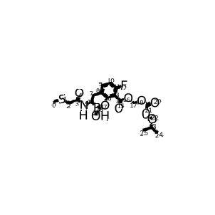 CSCC(=O)N[C@H]1Cc2ccc(F)c(C(=O)OCOC(=O)OOC(C)C)c2OB1O